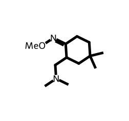 CO/N=C1/CCC(C)(C)CC1CN(C)C